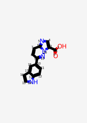 O=C(O)c1cnc2ccc(-c3ccc4[nH]ccc4c3)nn12